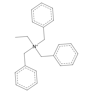 CC[N+](Cc1ccccc1)(Cc1ccccc1)Cc1ccccc1